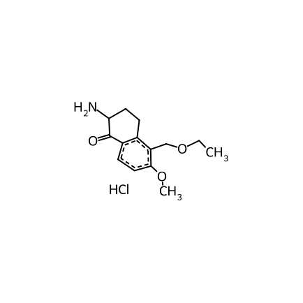 CCOCc1c(OC)ccc2c1CCC(N)C2=O.Cl